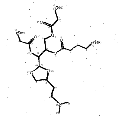 CCCCCCCCCCCCCC(=O)OC(COC(=O)CCCCCCCCCCC)C(OC(=O)CCCCCCCCCCC)[C@@H]1OCC(CCN(C)C)O1